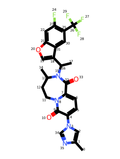 Cc1cn(-c2ccc3n(c2=O)CCC(C)N(C(C)c2coc4cc(F)c(C(F)(F)F)cc24)C3=O)cn1